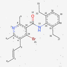 CC=CCc1c(C)nc(C)c(C(=O)Nc2c(CC)cccc2CC)c1Br